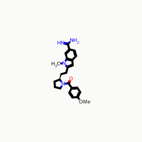 COc1ccc(C(=O)N2CCC[C@H]2CCc2cc3ccc(C(=N)N)cc3n2C)cc1